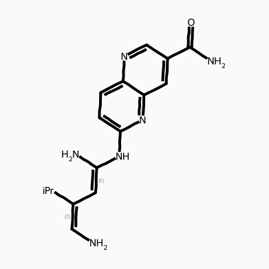 CC(C)C(=C/N)/C=C(\N)Nc1ccc2ncc(C(N)=O)cc2n1